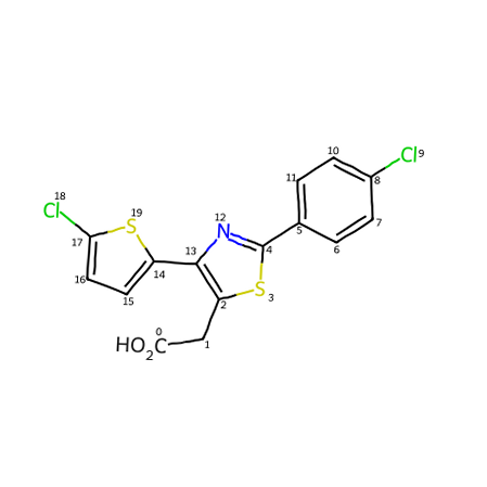 O=C(O)Cc1sc(-c2ccc(Cl)cc2)nc1-c1ccc(Cl)s1